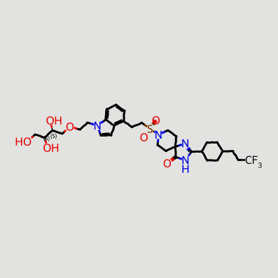 O=C1NC(C2CCC(CCC(F)(F)F)CC2)=NC12CCN(S(=O)(=O)CCc1cccc3c1ccn3CCOC[C@H](O)[C@@H](O)CO)CC2